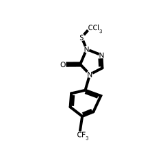 O=c1n(-c2ccc(C(F)(F)F)cc2)cnn1SC(Cl)(Cl)Cl